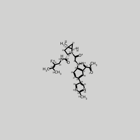 CC(=O)c1nn(CC(=O)N2[C@H](C(=O)NCC(F)=C(C)C)C[C@@]3(C)C[C@@H]23)c2ccc(-c3cnc(C)nc3)cc12